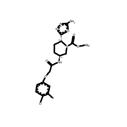 CC(C)(C)OC(=O)N1C[C@@H](NC(=O)COc2ccc(Cl)c(F)c2)CC[C@@H]1c1nnc(N)o1